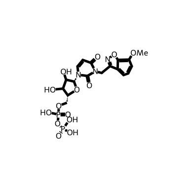 COc1cccc2c(Cn3c(=O)ccn([C@@H]4O[C@H](COP(=O)(O)OP(=O)(O)O)C(O)C4O)c3=O)noc12